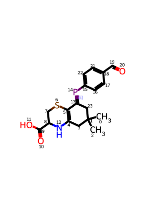 CC1(C)CC2=C(SCC(C(=O)O)N2)/C(=P/c2ccc(C=O)cc2)C1